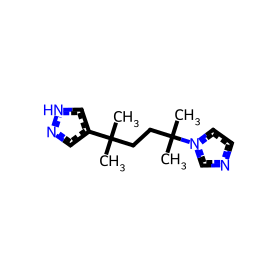 CC(C)(CCC(C)(C)n1ccnc1)c1cn[nH]c1